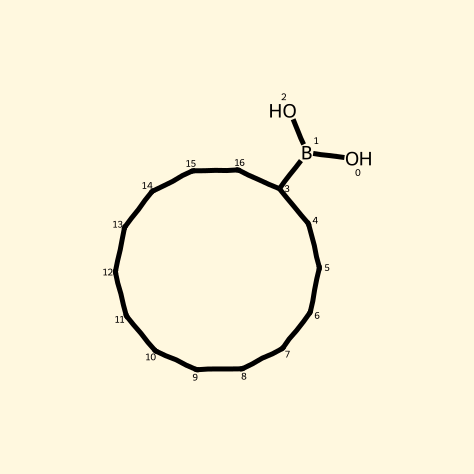 OB(O)C1CCCCCCCCCCCCC1